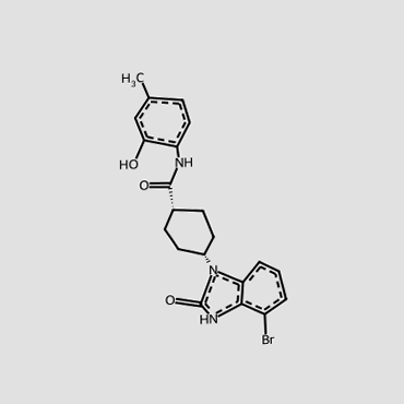 Cc1ccc(NC(=O)[C@H]2CC[C@@H](n3c(=O)[nH]c4c(Br)cccc43)CC2)c(O)c1